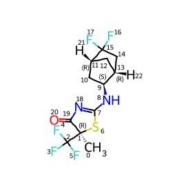 C[C@@]1(C(F)(F)F)SC(N[C@H]2C[C@H]3C[C@@H]2CC3(F)F)=NC1=O